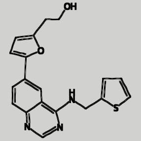 OCCc1ccc(-c2ccc3ncnc(NCc4cccs4)c3c2)o1